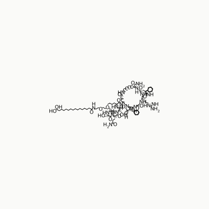 CCCC[C@H](NC(=O)[C@H](CO)NC(=O)[C@H](CCC(N)=O)NC(=O)[C@H](CO)NC(=O)COCCOCCNC(=O)CCCCCCCCCCCCCCC(O)O)C(=O)N[C@H]1CCC(=O)NCCCC[C@@H](C(N)=O)NC(=O)[C@H](Cc2c[nH]c3ccccc23)NC(=O)[C@H](CCCNC(=N)N)NC(=O)[C@@H](Cc2ccccc2)NC(=O)[C@@H]2C[C@@H](O)CN2C1=O